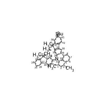 Cc1cc(C)c2ccccc2c1N(c1ccc2c(c1)C(C)(C)c1ccccc1-2)c1ccc2c(c1)C(C)(C)c1cc(C(C)(C)C)ccc1-2